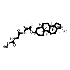 CC(=O)[C@H]1CC[C@H]2[C@@H]3CC[C@H]4C[C@H](OC(=O)[C@H](C)NC(=O)CNC(=O)OC(C)(C)C)CC[C@]4(C)[C@H]3CC[C@]12C